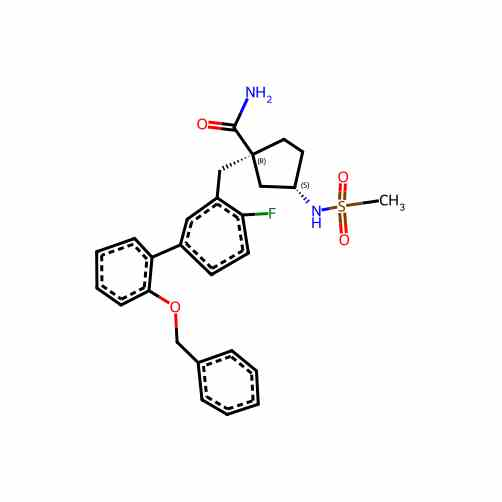 CS(=O)(=O)N[C@H]1CC[C@](Cc2cc(-c3ccccc3OCc3ccccc3)ccc2F)(C(N)=O)C1